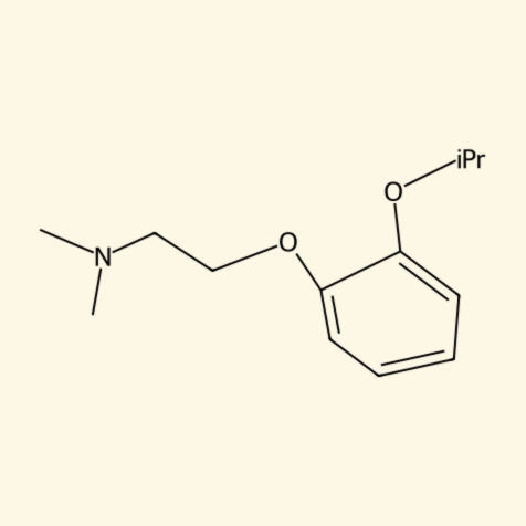 CC(C)Oc1ccccc1OCCN(C)C